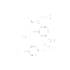 Cc1ccc(CS(=O)(=O)Nc2ccc3c(c2)C(C)OC(=O)N3CC2CC2)cc1